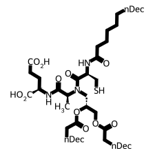 CCCCCCCCCCCCCCCC(=O)N[C@@H](CS)C(=O)N(C[C@H](COC(=O)CCCCCCCCCCC)OC(=O)CCCCCCCCCCC)[C@@H](C)C(=O)N[C@H](CCC(=O)O)C(=O)O